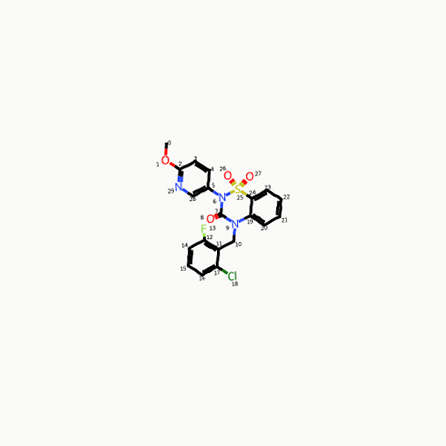 COc1ccc(N2C(=O)N(Cc3c(F)cccc3Cl)c3ccccc3S2(=O)=O)cn1